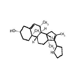 CC1=C(C2CCCN2)[C@@]2(C)CC[C@H]3[C@@H]([C@@H](C)C=C4C[C@@H](O)CC[C@@]43C)[C@@H]2C1